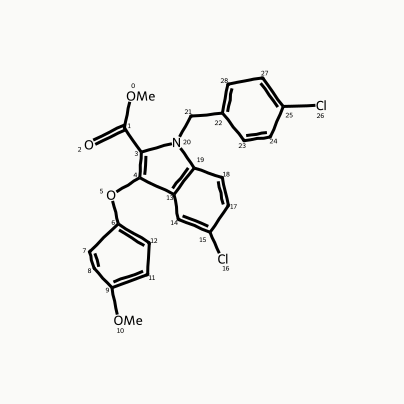 COC(=O)c1c(Oc2ccc(OC)cc2)c2cc(Cl)ccc2n1Cc1ccc(Cl)cc1